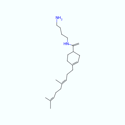 C=C(NCCCCN)C1CC=C(CC/C=C(\C)CCC=C(C)C)CC1